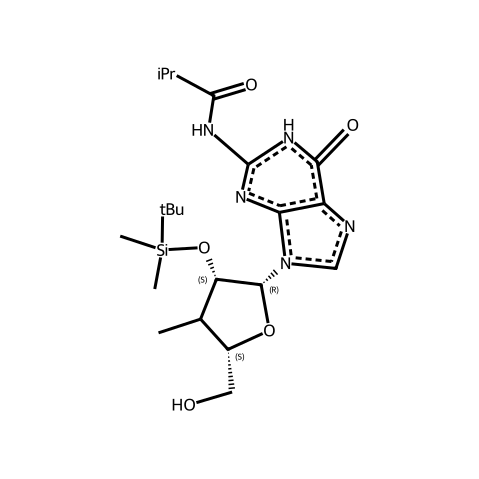 CC(C)C(=O)Nc1nc2c(ncn2[C@@H]2O[C@H](CO)C(C)[C@@H]2O[Si](C)(C)C(C)(C)C)c(=O)[nH]1